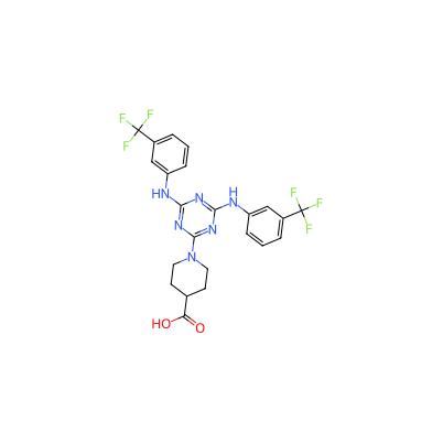 O=C(O)C1CCN(c2nc(Nc3cccc(C(F)(F)F)c3)nc(Nc3cccc(C(F)(F)F)c3)n2)CC1